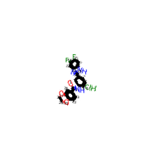 Cl.O=C(NC1CCCC(c2nc3cc(F)c(F)cc3[nH]2)C1)c1ccc2c(c1)OCCO2